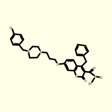 CCN(CC)C(=O)c1c(Cc2ccccc2)c2ccc(OCCCN3CCN(Cc4ccc(Cl)cc4)CC3)cc2oc1=O